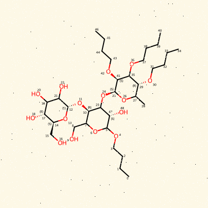 CCCCOC1OC(CO)[C@@H](O[C@@H]2O[C@@H](CO)[C@H](O)C(O)C2O)C(O[C@@H]2OC(C)[C@@H](OCCCC)C(OCCCC)[C@@H]2OCCCC)[C@@H]1O